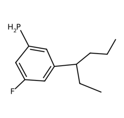 CCCC(CC)c1cc(F)cc(P)c1